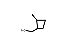 [CH2]C1CCC1CO